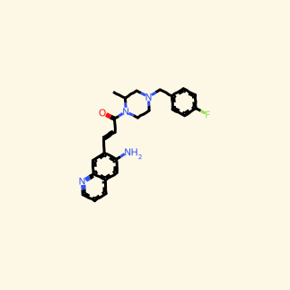 CC1CN(Cc2ccc(F)cc2)CCN1C(=O)C=Cc1cc2ncccc2cc1N